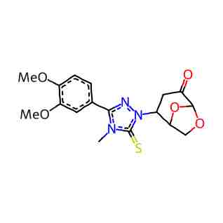 COc1ccc(-c2nn(C3CC(=O)C4OCC3O4)c(=S)n2C)cc1OC